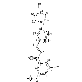 Cc1cc(CO)cc(C(=O)/C=C/c2cc(-c3ccc(F)cc3)n[nH]2)c1